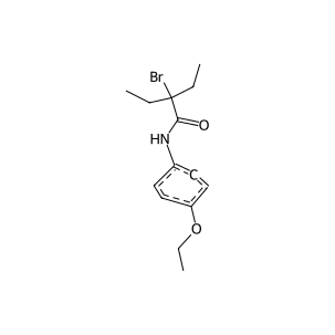 CCOc1ccc(NC(=O)C(Br)(CC)CC)cc1